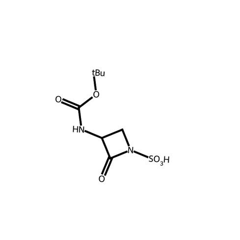 CC(C)(C)OC(=O)NC1CN(S(=O)(=O)O)C1=O